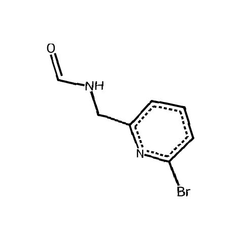 O=CNCc1cccc(Br)n1